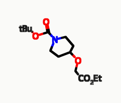 CCOC(=O)COC1CCN(C(=O)OC(C)(C)C)CC1